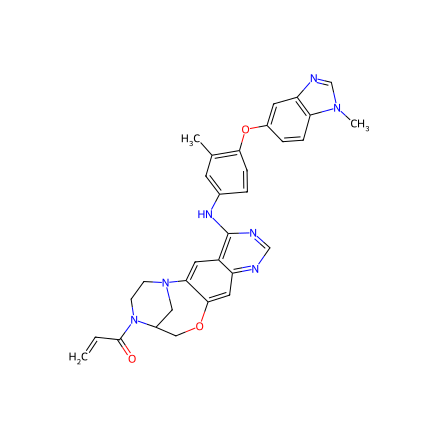 C=CC(=O)N1CCN2CC1COc1cc3ncnc(Nc4ccc(Oc5ccc6c(c5)ncn6C)c(C)c4)c3cc12